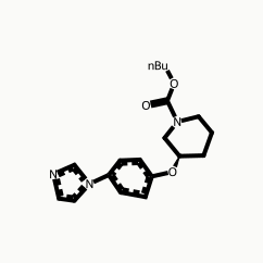 CCCCOC(=O)N1CCC[C@@H](Oc2ccc(-n3ccnc3)cc2)C1